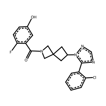 O=C(c1cc(O)ccc1F)N1CC2(CC(n3ncnc3-c3ccccc3Cl)C2)C1